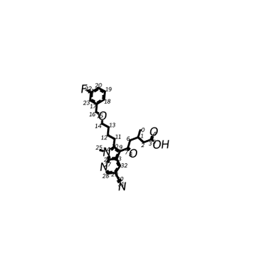 CC(CC(=O)O)CC(=O)c1c(CCCCOCc2cccc(F)c2)n(C)c2ncc(C#N)cc12